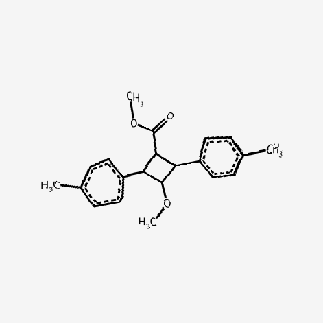 COC(=O)C1C(c2ccc(C)cc2)C(OC)C1c1ccc(C)cc1